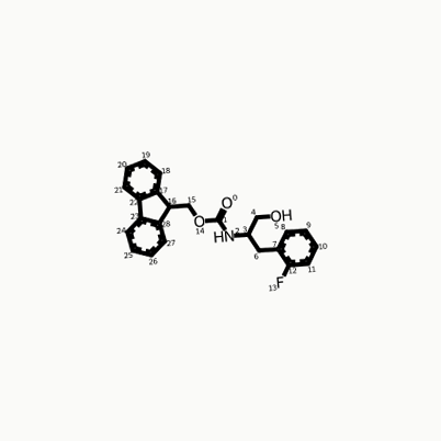 O=C(NC(CO)Cc1ccccc1F)OCC1c2ccccc2-c2ccccc21